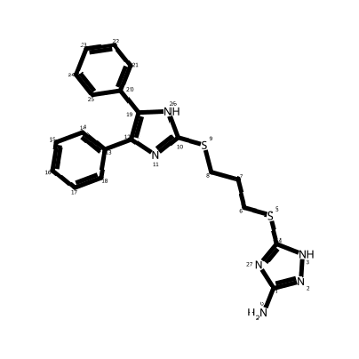 Nc1n[nH]c(SCCCSc2nc(-c3ccccc3)c(-c3ccccc3)[nH]2)n1